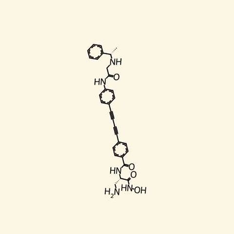 C[C@H](NCC(=O)Nc1ccc(C#CC#Cc2ccc(C(=O)N[C@@H](CN)C(=O)NO)cc2)cc1)c1ccccc1